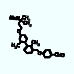 CNC(C)(C)CCOc1ccc(-c2cccc(COc3ccc(C=O)cc3)c2C)c(C)c1